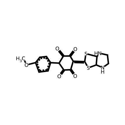 COc1ccc(C2C(=O)C(=O)C(=C3SC4NCCNC4S3)C(=O)C2=O)cc1